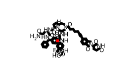 NC(=O)CC[C@H](NC(=O)[C@@H]1CC[C@@H]2CCN(C(=O)CCCCC#Cc3ccc4c(c3)CN(C3CCC(=O)NC3=O)C4=O)C[C@H](NC(=O)c3cc4cc(C(F)(F)P(=O)(O)O)ccc4[nH]3)C(=O)N21)C(=O)NC(c1ccccc1)c1ccccc1